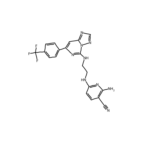 N#Cc1ccc(NCCNc2nc(-c3ccc(C(F)(F)F)cc3)cc3ncnn23)nc1N